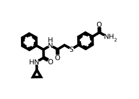 NC(=O)c1ccc(SCC(=O)NC(C(=O)NC2CC2)c2ccccc2)cc1